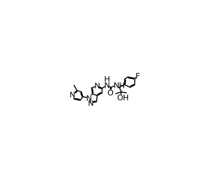 Cc1cc(-n2ncc3cc(NC(=O)NC(c4ccc(F)cc4)C(C)(C)O)ncc32)ccn1